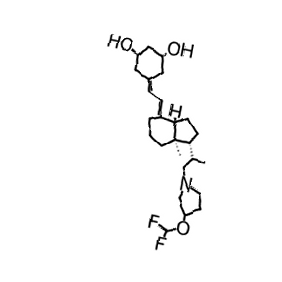 CC(CN1CCC(OC(F)F)C1)[C@H]1CC[C@H]2C(=CC=C3C[C@@H](O)C[C@H](O)C3)CCC[C@]12C